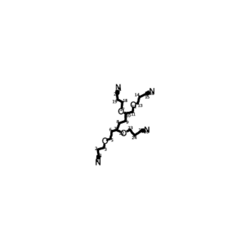 N#CCCOCCC(CCC(COCCC#N)OCCC#N)OCCC#N